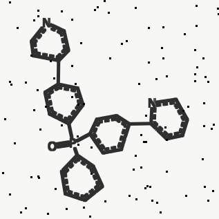 O=P(c1ccccc1)(c1ccc(-c2ccncc2)cc1)c1ccc(-c2ccccn2)cc1